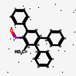 O=Ic1c(-c2ccccc2)cc(-c2ccccc2)c(-c2ccccc2)c1C(=O)O